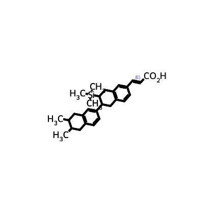 CC1Cc2ccc(C3Cc4ccc(/C=C/C(=O)O)cc4CC3[Si](C)(C)C)cc2CC1C